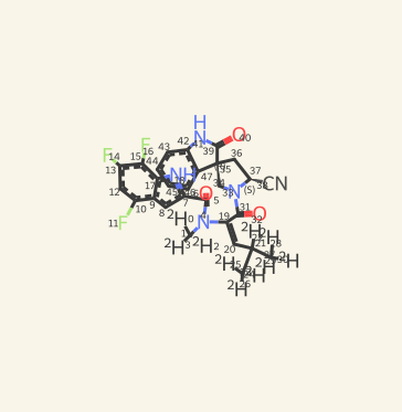 [2H]C([2H])([2H])N(C(=O)c1cc2c(F)cc(F)c(F)c2[nH]1)C(=CC([2H])(C([2H])([2H])[2H])C([2H])([2H])[2H])C(=O)N1C[C@]2(C[C@H]1C#N)C(=O)Nc1ccccc12